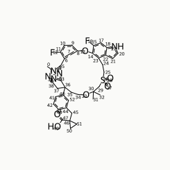 Cn1nc2nc1-c1cc(ccc1F)Oc1c(F)cc3[nH]ccc3c1CCS(=O)(=O)CC(C)(C)OCCC2(CC#N)c1cccc(CC2(C(=O)O)CC2)c1